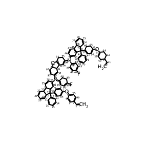 C=Cc1ccc(Oc2ccc(C3(c4ccccc4)C4C=CC=CC4C4C=CC(N(C5=CC6C7=C(CCC(N(c8ccc(F)cc8)c8ccc9c(c8)C(C8=CC=C(OC%10=CCC(C=C)CC%10)CC8)(c8ccccc8)C8C=CC=CC98)=C7)OC6C=C5)C5=CC=C(F)CC5)=CC43)cc2)cc1